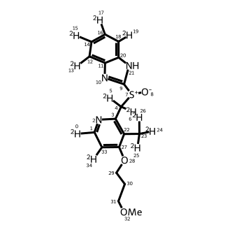 [2H]c1nc(C([2H])([2H])[S+]([O-])c2nc3c([2H])c([2H])c([2H])c([2H])c3[nH]2)c(C([2H])([2H])[2H])c(OCCCOC)c1[2H]